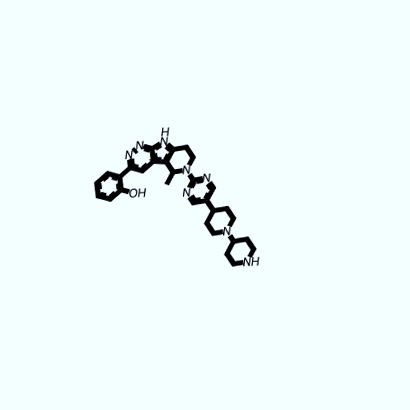 CC1c2c([nH]c3nnc(-c4ccccc4O)cc23)CCN1c1ncc(C2CCN(C3CCNCC3)CC2)cn1